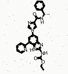 CCOC(=O)Nc1nc2cc(-n3cnc(C(=O)N[C@@H](C)c4ccccc4)c3)cc(-c3ccccn3)c2[nH]1